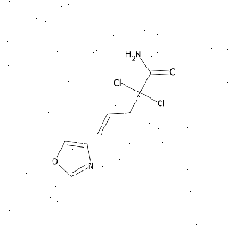 C=CCC(Cl)(Cl)C(N)=O.c1cocn1